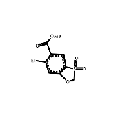 CCc1cc2c(cc1C(=O)OC)S(=O)(=O)CO2